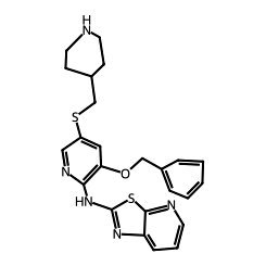 c1ccc(COc2cc(SCC3CCNCC3)cnc2Nc2nc3cccnc3s2)cc1